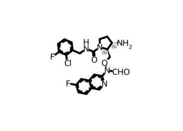 N[C@H]1CCN(C(=O)NCc2cccc(F)c2Cl)[C@@H]1CON(C=O)c1cc2cc(F)ccc2cn1